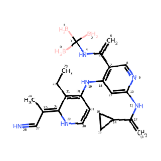 BC(B)(B)NC(=C)c1cnc(NC(=C)C2CC2)cc1NC1=C(CC)/C(=C(\C)C=N)NC=C1